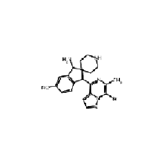 Cc1nc(C2c3ccc(C#N)cc3C(N)C23CCNCC3)c2ccnn2c1Br